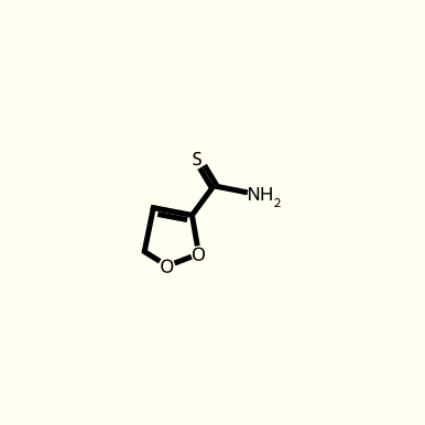 NC(=S)C1=CCOO1